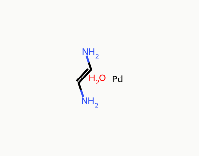 N/C=C/N.O.[Pd]